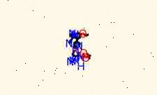 CCOc1cc(-c2ccc(N3CC[C@H](N=[N+]=[N-])[C@H](NC(=O)OC(C)(C)C)C3)nc2)c2c(C#N)cnn2c1